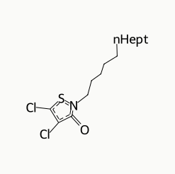 CCCCCCCCCCCCn1sc(Cl)c(Cl)c1=O